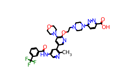 Cc1ncc(NC(=O)c2cccc(C(F)(F)F)c2)cc1-c1cnc(OCCN2CCN(c3ccc(C(=O)O)nn3)CC2)c(N2CCOCC2)c1